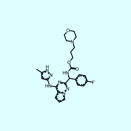 Cc1cc(Nc2nc(C(NC(=O)OCCCN3CCOCC3)c3ccc(F)cc3)nn3cccc23)n[nH]1